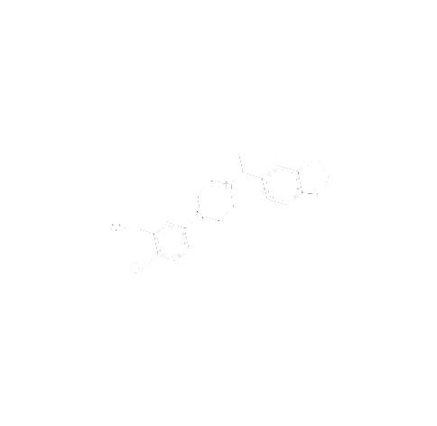 COc1cc(N2CCN(C(C)c3ccc4c(c3)OCO4)CC2)ccc1Br